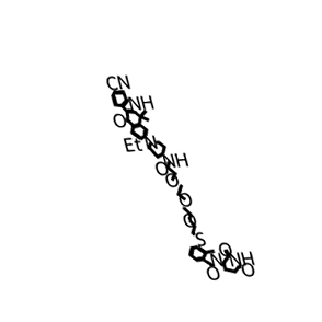 CCc1cc2c(cc1N1CCC(NC(=O)COCCOCCOCCSc3cccc4c3CN(C3CCC(=O)NC3=O)C4=O)CC1)C(C)(C)c1[nH]c3cc(C#N)ccc3c1C2=O